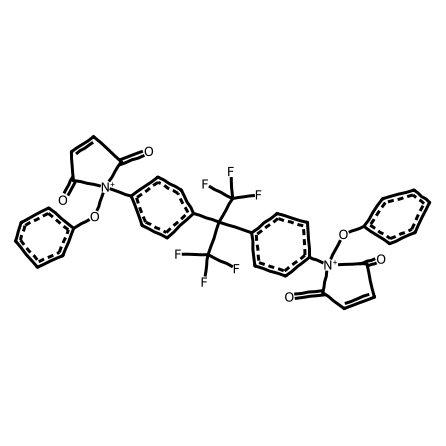 O=C1C=CC(=O)[N+]1(Oc1ccccc1)c1ccc(C(c2ccc([N+]3(Oc4ccccc4)C(=O)C=CC3=O)cc2)(C(F)(F)F)C(F)(F)F)cc1